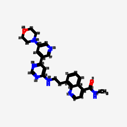 CNC(=O)c1ccnc2c(CCNc3cc(-c4cncc(N5CCOCC5)c4)ncn3)cccc12